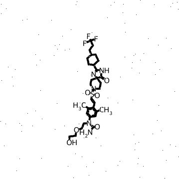 Cc1cc(N(CCOCCO)C(N)=O)cc(C)c1/C=C/S(=O)(=O)N1CCC2(CC1)N=C(C1CCC(CCC(F)(F)F)CC1)NC2=O